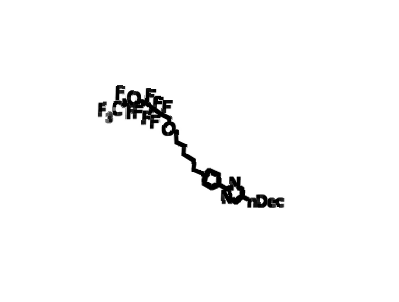 CCCCCCCCCCc1cnc(-c2ccc(CCCCCCOCC(F)(F)C(F)(F)C(F)(F)OC(F)(F)C(F)(F)F)cc2)nc1